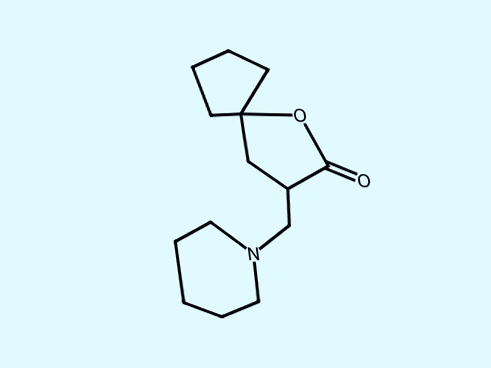 O=C1OC2(CCCC2)CC1CN1CCCCC1